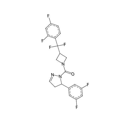 O=C(N1CC(C(F)(F)c2ccc(F)cc2F)C1)N1N=CCC1c1cc(F)cc(F)c1